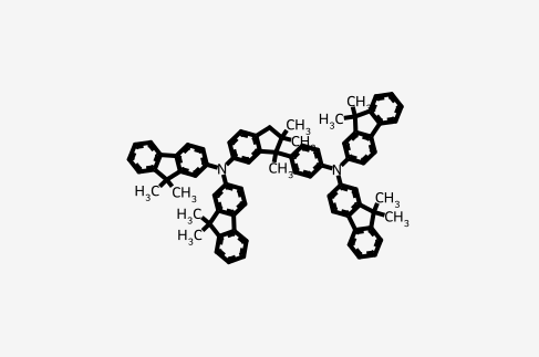 CC1(C)c2ccccc2-c2ccc(N(c3ccc(C4(C)c5cc(N(c6ccc7c(c6)C(C)(C)c6ccccc6-7)c6ccc7c(c6)C(C)(C)c6ccccc6-7)ccc5CC4(C)C)cc3)c3ccc4c(c3)C(C)(C)c3ccccc3-4)cc21